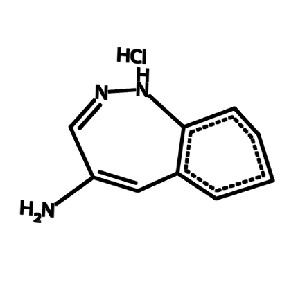 Cl.NC1=Cc2ccccc2NN=C1